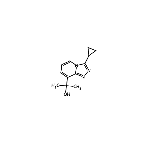 CC(C)(O)c1cccn2c(C3CC3)nnc12